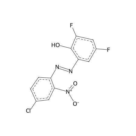 O=[N+]([O-])c1cc(Cl)ccc1N=Nc1cc(F)cc(F)c1O